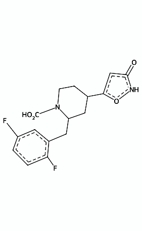 O=C(O)N1CCC(c2cc(=O)[nH]o2)CC1Cc1cc(F)ccc1F